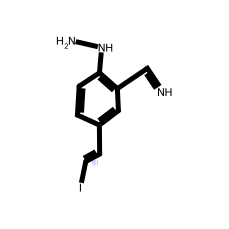 N=Cc1cc(/C=C/I)ccc1NN